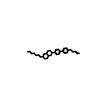 CC=CCCc1ccc(-c2ccc(C3CCC4CC(CCCCCCC)CCC4C3)cc2)cc1